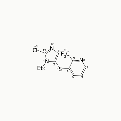 CCn1c(Sc2cccnc2C(F)(F)F)cnc1Cl